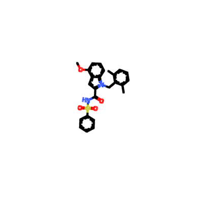 COc1cccc2c1cc(C(=O)NS(=O)(=O)c1ccccc1)n2Cc1c(C)cccc1C